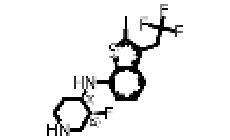 F[C@H]1CNCC[C@H]1Nc1cccc2c(CC(F)(F)F)c(I)sc12